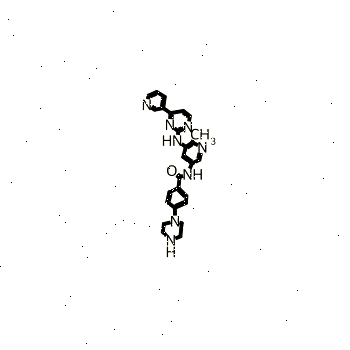 Cc1ncc(NC(=O)c2ccc(N3CCNCC3)cc2)cc1Nc1nccc(-c2cccnc2)n1